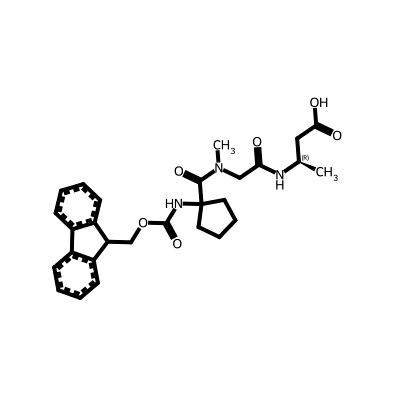 C[C@H](CC(=O)O)NC(=O)CN(C)C(=O)C1(NC(=O)OCC2c3ccccc3-c3ccccc32)CCCC1